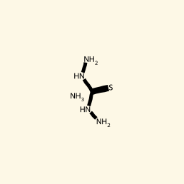 N.NNC(=S)NN